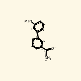 CNc1cccc(-c2cccc(C(N)=O)c2)c1